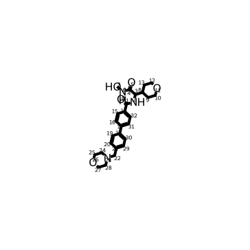 O=C(NC(C(=O)NO)C1CCOCC1)c1ccc(-c2ccc(CN3CCOCC3)cc2)cc1